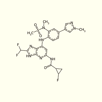 CN(c1cc(-c2cnn(C)c2)ccc1Nc1cc(NC(=O)C2CC2F)nc2[nH]c(C(F)F)nc12)S(C)(=O)=O